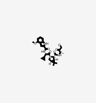 COc1cccc2[nH]c(C(=O)N[C@H](C(=O)N3C[C@H]4[C@@H]([C@H]3C(=O)N[C@@H](C)C(=O)CCl)C4(C)C)C3CC3)cc12